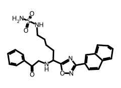 NS(=O)(=O)NCCCCC(NCC(=O)c1ccccc1)c1nc(-c2ccc3ccccc3c2)no1